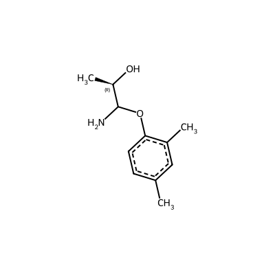 Cc1ccc(OC(N)[C@@H](C)O)c(C)c1